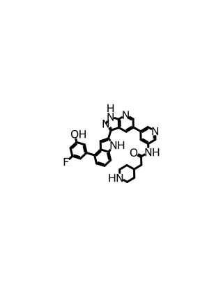 O=C(CC1CCNCC1)Nc1cncc(-c2cnc3[nH]nc(-c4cc5c(-c6cc(O)cc(F)c6)cccc5[nH]4)c3c2)c1